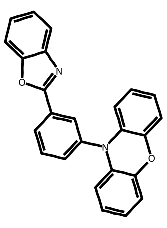 c1cc(-c2nc3ccccc3o2)cc(N2c3ccccc3Oc3ccccc32)c1